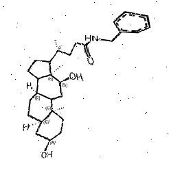 C[C@H](CCC(=O)NCc1ccccc1)C1CCC2[C@@H]3CC[C@@H]4C[C@H](O)CC[C@]4(C)C3C[C@H](O)[C@@]21C